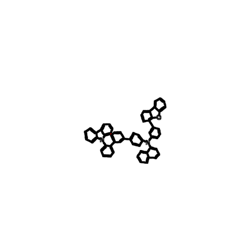 c1cc(-c2ccc(N(c3cccc(-c4cccc5c4oc4ccccc45)c3)c3cccc4ccccc34)cc2)cc(-c2ccccc2-n2c3ccccc3c3ccccc32)c1